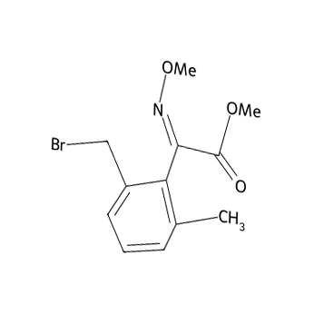 CON=C(C(=O)OC)c1c(C)cccc1CBr